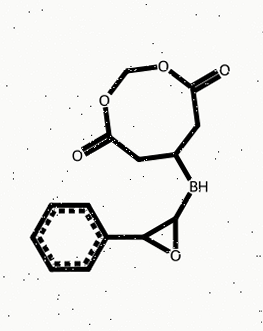 O=C1CC(BC2OC2c2ccccc2)CC(=O)OCO1